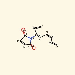 C=C/C=C\C=C(/C=C)N1C(=O)C=CC1=O